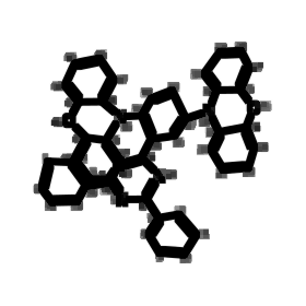 c1ccc(-c2nc(-c3ccccc3)nc(-c3cc(N4c5ccccc5Oc5ccccc54)ccc3N3c4ccccc4Oc4ccccc43)n2)cc1